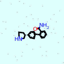 NC(=O)c1ccccc1-c1ccc([C@H]2CCCNC2)cc1